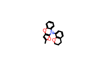 Cc1cc2c(o1)N(c1cccc3c1OCCC3)c1ccccc1O2